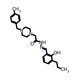 CCCc1cccc(/C=N/NC(=O)CN2CCN(Cc3ccc(C)cc3)CC2)c1O